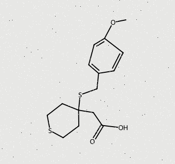 COc1ccc(CSC2(CC(=O)O)CCSCC2)cc1